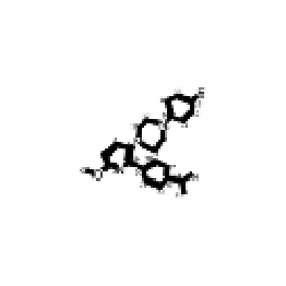 COc1ccc(N2CCN(c3ccc(F)cc3)CC2)c(-c2ccc(C(C)C)cc2)n1